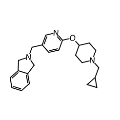 c1ccc2c(c1)CN(Cc1ccc(OC3CCN(CC4CC4)CC3)nc1)C2